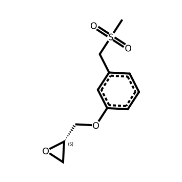 CS(=O)(=O)Cc1cccc(OC[C@@H]2CO2)c1